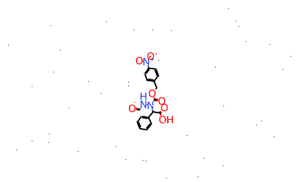 O=CNN(C(=O)OCc1ccc([N+](=O)[O-])cc1)C(C(=O)O)c1ccccc1